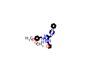 COc1ccc(CNc2ncc(CN3CCN(c4ccccc4)CC3)c3nc(-c4ccco4)nn23)cc1OC